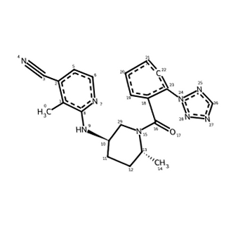 Cc1c(C#N)ccnc1N[C@@H]1CC[C@@H](C)N(C(=O)c2ccccc2-n2ncnn2)C1